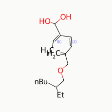 C=C(/C=C\C(=C/C)C(O)O)COCC(CC)CCCC